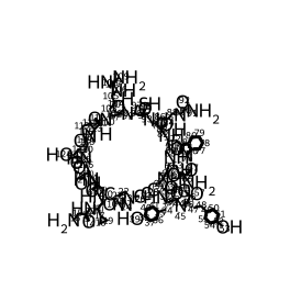 C[C@H](O)[C@H]1NC(=O)[C@H](NC(=O)[C@H](NC(=O)CN)C2CC2)Cc2cn(nn2)CCC[C@@H](C(=O)N[C@@H](Cc2ccc(O)cc2)C(=O)N(C)[C@@H](CCc2ccc(O)cc2)C(=O)O)NC(=O)[C@H](CCC(N)=O)NC(=O)[C@@H](Cc2c[nH]c3ccccc23)NC(=O)[C@H](CCCNC(N)=O)NC(=O)C(CS)NC(=O)[C@H](CCCNC(=N)N)NC(=O)C2CCCN2C(=O)[C@H](CC(=O)O)NC1=O